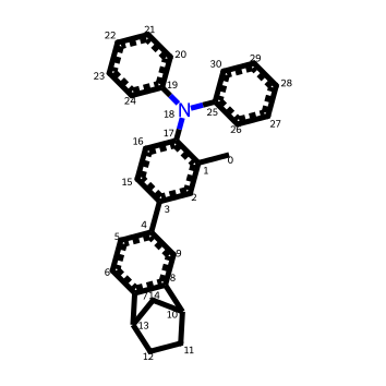 Cc1cc(-c2ccc3c(c2)C2CCC3C2)ccc1N(c1ccccc1)c1ccccc1